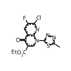 CCOC(=O)c1cn(-c2nnc(C)s2)c2nc(Cl)c(F)cc2c1=O